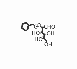 O=C[C@H](OOCc1ccccc1)[C@@H](O)[C@H](O)[C@H](O)CO